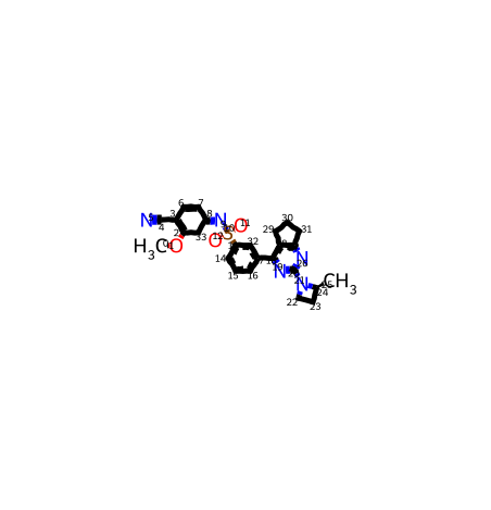 COC1=C(C#N)C=CC(=NS(=O)(=O)c2cccc(-c3nc(N4CC[C@@H]4C)nc4c3CCC4)c2)C1